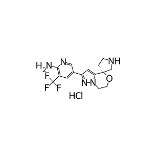 Cl.Nc1ncc(-c2cc3n(n2)CCO[C@@]32CCNC2)cc1C(F)(F)F